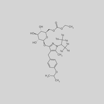 [2H]C([2H])([2H])C(n1nc(O[C@@H]2O[C@H](COC(=O)OCC)[C@@H](O)[C@H](O)[C@H]2O)c(Cc2ccc(OC(C)C)cc2)c1C)C([2H])([2H])[2H]